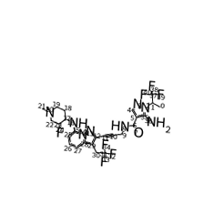 CC(n1ncc(C(=O)NCC#Cc2nn3c(N[C@@H]4CCN(C)C[C@@H]4F)cccc3c2CC(F)(F)F)c1N)C(F)(F)F